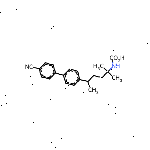 CC(CCC(C)(C)NC(=O)O)c1ccc(-c2ccc(C#N)cc2)cc1